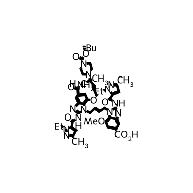 CCn1nc(C)cc1C(=O)Nc1nc2cc(C(=O)O)cc(OC)c2n1CC=CCn1c(NC(=O)c2cc(C)nn2CC)nc2cc(C(N)=O)cc(OCC#CC(C)(C)N3CCN(C(=O)OC(C)(C)C)CC3)c21